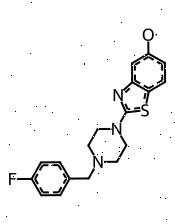 [O]c1ccc2sc(N3CCN(Cc4ccc(F)cc4)CC3)nc2c1